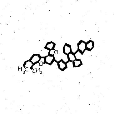 C=Cc1c(/C=C\C)ccc2c1oc1cc(-c3cccc(-c4c5ccccc5c(-c5ccc6ccccc6c5)c5ccccc45)c3)c3oc4ccccc4c3c12